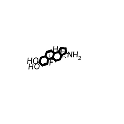 C[C@]12CC[C@@]3(F)[C@@H](C=CC4CC(O)(O)C=C[C@@]43C)[C@@H]1CC[C@@H]2N